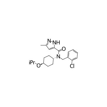 Cc1cc(C(=O)N(Cc2ccccc2Cl)[C@H]2CC[C@H](OC(C)C)CC2)[nH]n1